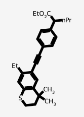 CCCC(C(=O)OCC)c1ccc(C#Cc2cc3c(cc2CC)SCCC3(C)C)cc1